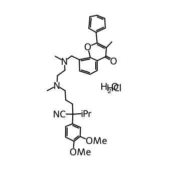 COc1ccc(C(C#N)(CCCN(C)CCN(C)Cc2cccc3c(=O)c(C)c(-c4ccccc4)oc23)C(C)C)cc1OC.Cl.O